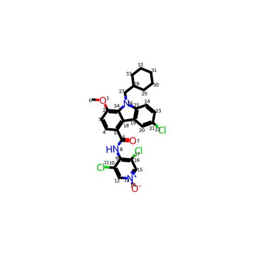 COc1ccc(C(=O)Nc2c(Cl)c[n+]([O-])cc2Cl)c2c3cc(Cl)ccc3n(CC3CCCCC3)c12